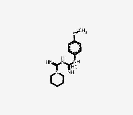 CSc1ccc(NC(=N)NC(=N)N2CCCCC2)cc1.Cl